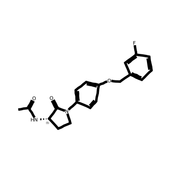 CC(=O)N[C@H]1CCN(c2ccc(OCc3cccc(F)c3)cc2)C1=O